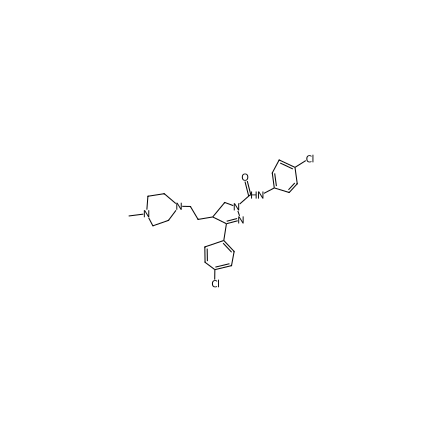 CN1CCN(CCC2CN(C(=O)Nc3ccc(Cl)cc3)N=C2c2ccc(Cl)cc2)CC1